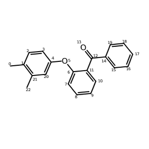 Cc1ccc(Oc2ccccc2C(=O)c2ccccc2)cc1C